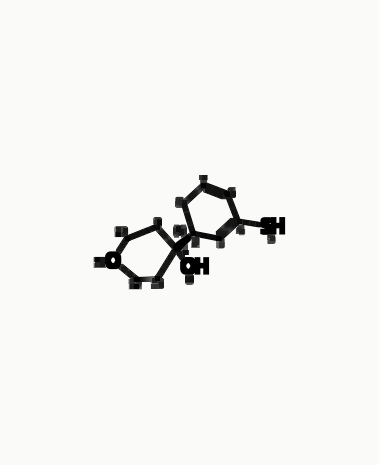 OC1([C@@H]2C=C(S)C=CC2)CCOCC1